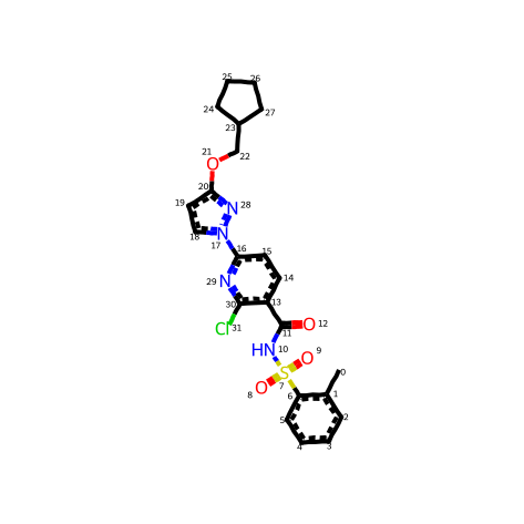 Cc1ccccc1S(=O)(=O)NC(=O)c1ccc(-n2ccc(OCC3CCCC3)n2)nc1Cl